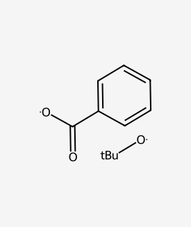 CC(C)(C)[O].[O]C(=O)c1ccccc1